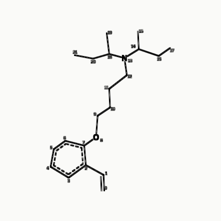 C=Cc1ccccc1OCCCCN(C(C)CC)C(C)CC